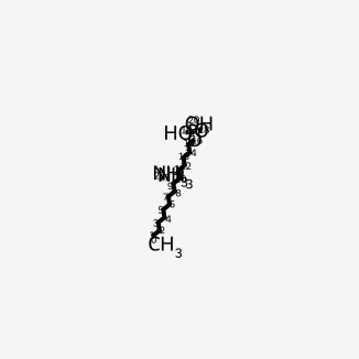 CCCCCCCCCCCCCCCCOP(=O)(O)O.N.N